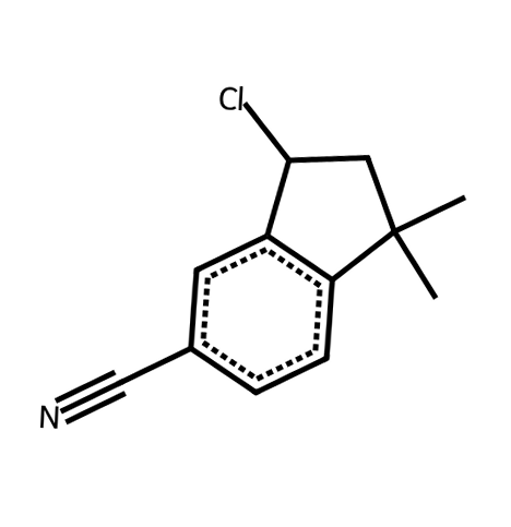 CC1(C)CC(Cl)c2cc(C#N)ccc21